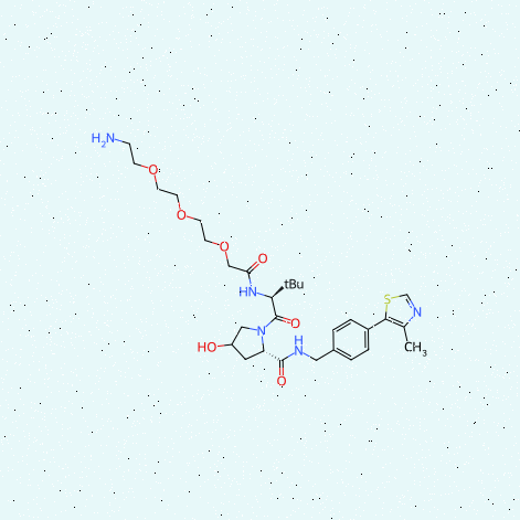 Cc1ncsc1-c1ccc(CNC(=O)[C@@H]2CC(O)CN2C(=O)[C@@H](NC(=O)COCCOCCOCCN)C(C)(C)C)cc1